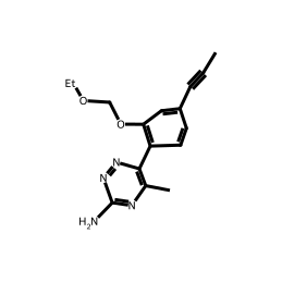 CC#Cc1ccc(-c2nnc(N)nc2C)c(OCOCC)c1